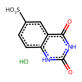 Cl.O=c1[nH]c(=O)c2cc(S(=O)(=O)O)ccc2[nH]1